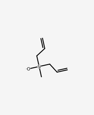 C=CC[Si](C)([O])CC=C